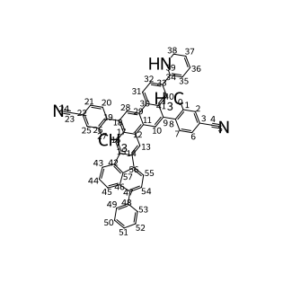 Cc1cc(C#N)ccc1-c1cc2c3cc4c(cc3c(-c3ccc(C#N)cc3C)cc2c2ccc(C3=CC=CCN3)cc12)-c1cccc2c(-c3ccccc3)ccc-4c12